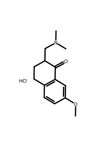 COc1ccc2c(c1)C(=O)C(CN(C)C)CC2.Cl